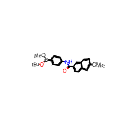 COB(OC(C)(C)C)c1ccc(NC(=O)c2ccc3cc(OC)ccc3c2)cc1